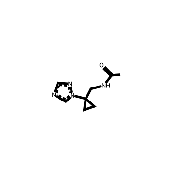 CC(=O)NCC1(n2cncn2)CC1